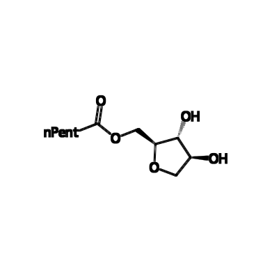 CCCCCC(=O)OC[C@@H]1OC[C@H](O)[C@H]1O